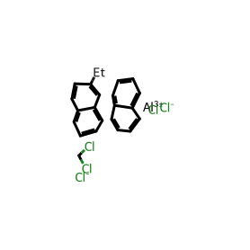 CCc1ccc2ccccc2c1.ClCCl.[Al+3].[Cl-].[Cl-].[Cl-].c1ccc2ccccc2c1